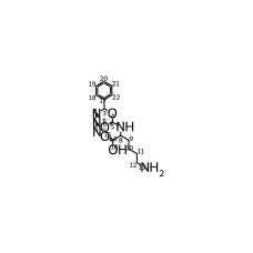 [N-]=[N+]=NC(OC(=O)NC(CCCCN)C(=O)O)c1ccccc1